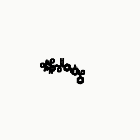 C[C@H]1CN(C(=O)c2ccccc2)CCN1c1ccc(NC(=O)Cn2cnc3c2c(=O)n(C)c(=O)n3C)cc1